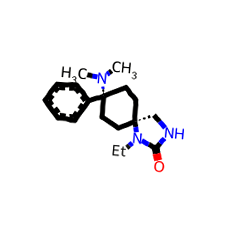 CCN1C(=O)NC[C@]12CC[C@@](c1ccccc1)(N(C)C)CC2